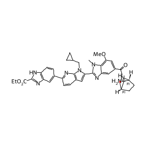 CCOC(=O)c1nc2cc(-c3ccc4cc(-c5nc6cc(C(=O)N7C[C@H]8CC[C@@H]7[C@@H]8N)cc(OC)c6n5C)n(CC5CC5)c4n3)ccc2[nH]1